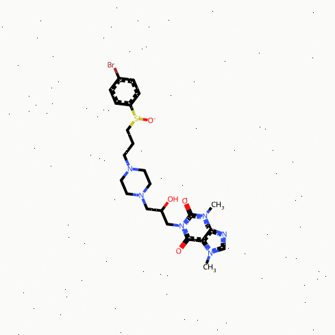 Cn1cnc2c1c(=O)n(CC(O)CN1CCN(CCC[S+]([O-])c3ccc(Br)cc3)CC1)c(=O)n2C